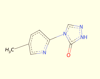 Cc1ccc(-n2cn[nH]c2=O)nc1